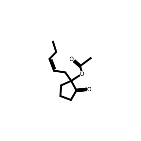 CC/C=C\CC1(OC(C)=O)CCCC1=O